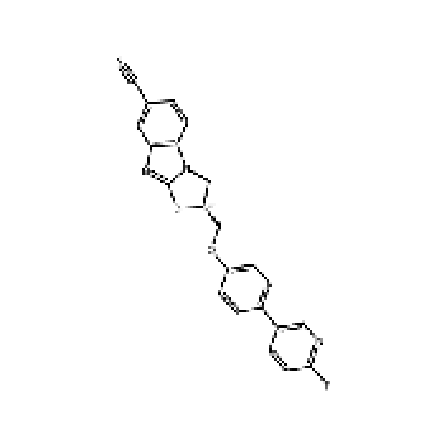 N#Cc1ccc2c(c1)nc1n2C[C@@H](COc2ccc(-c3ccc(F)nc3)nc2)O1